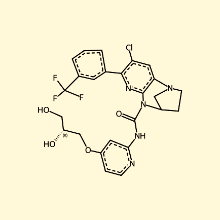 O=C(Nc1cc(OC[C@H](O)CO)ccn1)N1c2nc(-c3cccc(C(F)(F)F)c3)c(Cl)cc2N2CCC1C2